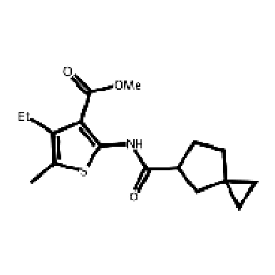 CCc1c(C)sc(NC(=O)C2CCC3(CC3)C2)c1C(=O)OC